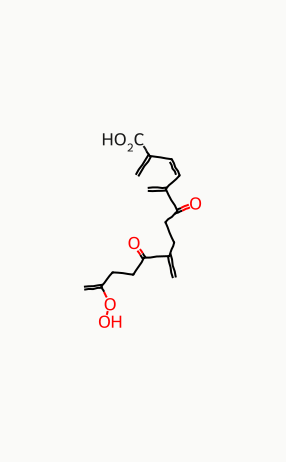 C=C(CCC(=O)C(=C)CCC(=O)C(=C)/C=C\C(=C)C(=O)O)OO